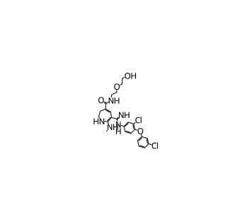 CNC1=C(C(=N)Nc2ccc(Oc3cccc(Cl)c3)c(Cl)c2)C=C(C(=O)NCCOCCO)CCN1